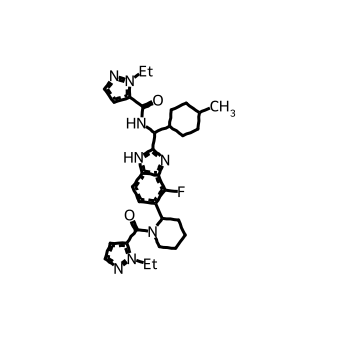 CCn1nccc1C(=O)NC(c1nc2c(F)c(C3CCCCN3C(=O)c3ccnn3CC)ccc2[nH]1)C1CCC(C)CC1